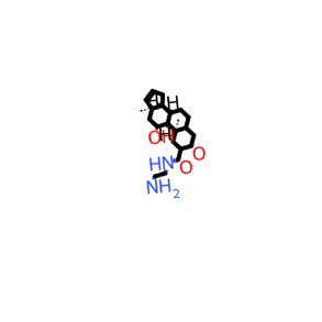 C[C@]12C=CC[C@H]1[C@@H]1CCC3CC(=O)C(C(=O)NCCN)C[C@@]3(C)[C@H]1[C@@H](O)C2